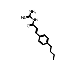 CCCCc1ccc(C=CC(=O)NC(=N)N)cc1